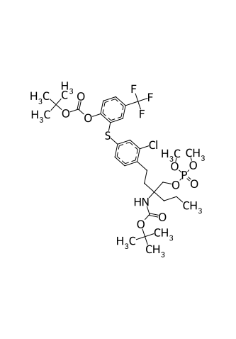 CCCC(CCc1ccc(Sc2cc(C(F)(F)F)ccc2OC(=O)OC(C)(C)C)cc1Cl)(COP(=O)(OC)OC)NC(=O)OC(C)(C)C